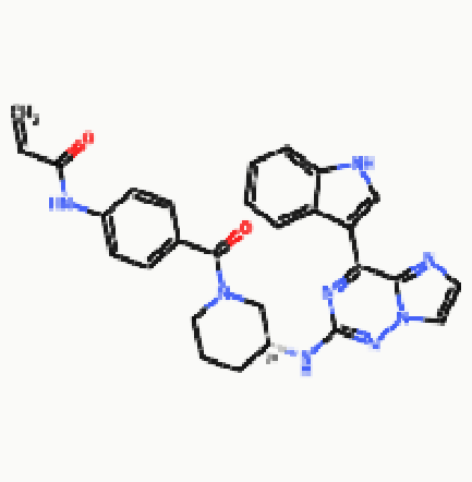 C=CC(=O)Nc1ccc(C(=O)N2CCC[C@@H](Nc3nc(-c4c[nH]c5ccccc45)c4nccn4n3)C2)cc1